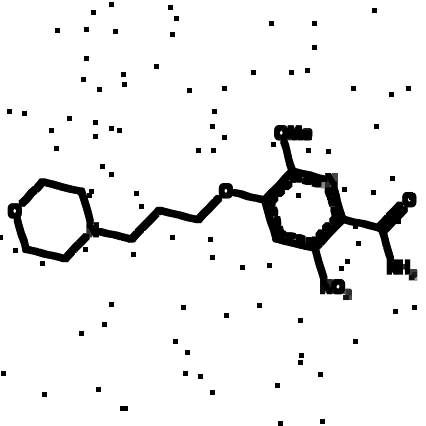 COc1nc(C(N)=O)c([N+](=O)[O-])cc1OCCCN1CCOCC1